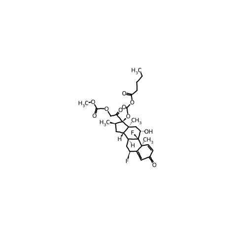 CCCCC(=O)OC(=O)O[C@]1(C(=O)COC(=O)OC)[C@H](C)C[C@H]2[C@@H]3C[C@H](F)C4=CC(=O)C=C[C@]4(C)[C@@]3(F)[C@@H](O)C[C@@]21C